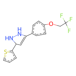 FC(F)(F)COc1ccc(C2=CC(c3cccs3)NN2)cc1